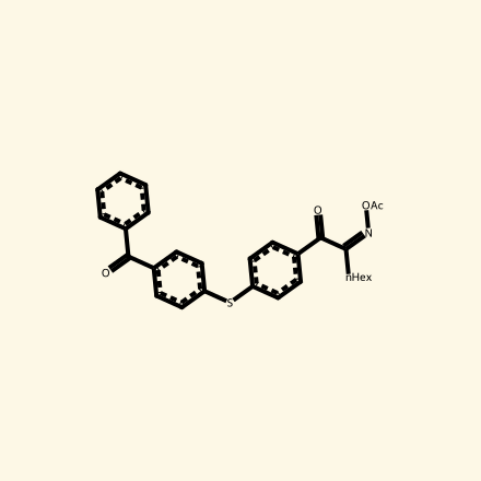 CCCCCC/C(=N/OC(C)=O)C(=O)c1ccc(Sc2ccc(C(=O)c3ccccc3)cc2)cc1